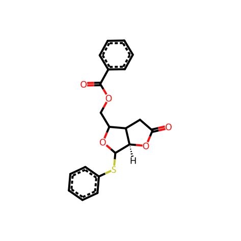 O=C1CC2C(COC(=O)c3ccccc3)OC(Sc3ccccc3)[C@@H]2O1